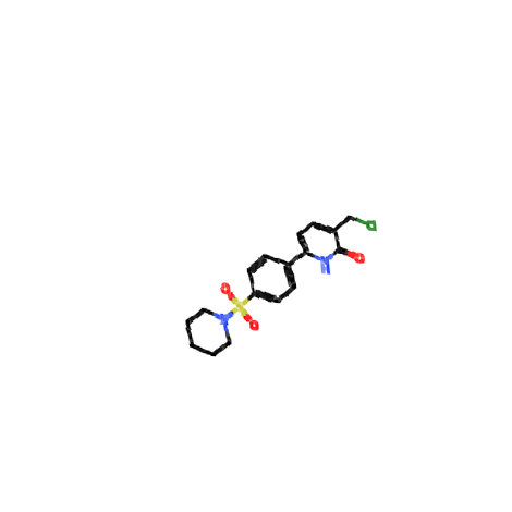 O=c1[nH]c(-c2ccc(S(=O)(=O)N3CCCCC3)cc2)ccc1CCl